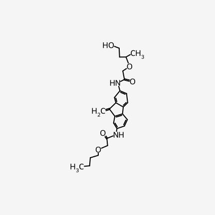 C=C1c2cc(NC(=O)COCCCC)ccc2-c2ccc(NC(=O)COC(C)CCO)cc21